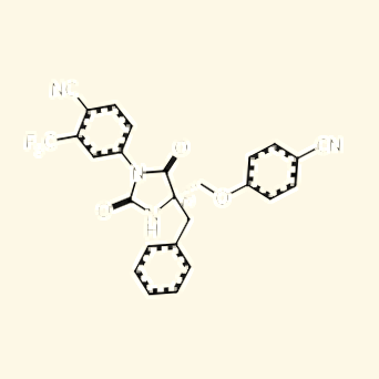 N#Cc1ccc(OC[C@]2(Cc3ccccc3)NC(=O)N(c3ccc(C#N)c(C(F)(F)F)c3)C2=O)cc1